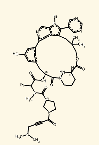 CCn1c(-c2cncnc2)c2c3cc(ncc31)-c1cc(O)cc(c1)C[C@H](NC(=O)C(C(C)C)N(C)C(=O)[C@H]1CCN(C(=O)C#CCN(C)C)C1)C(=O)N1CCC[C@H](N1)C(=O)OCC(C)(C)C2